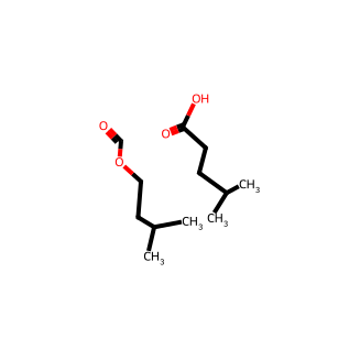 CC(C)CCC(=O)O.CC(C)CCOC=O